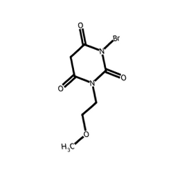 COCCN1C(=O)CC(=O)N(Br)C1=O